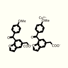 COc1ccc(C(=O)c2cc(CC(=O)[O-])cc3ccoc23)cc1.COc1ccc(C(=O)c2cc(CC(=O)[O-])cc3ccoc23)cc1.[Cu+2]